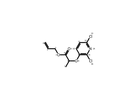 C=CCOC(=O)C(C)Oc1ccc(Cl)nc1Cl